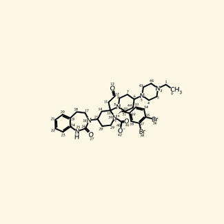 CCN1CCN(C2CCN(C3(CC=O)CC(N4CCc5ccccc5NC4=O)CC[N@+]3(Cc3ccc(Br)c(Br)c3)C(=O)[O-])CC2)CC1